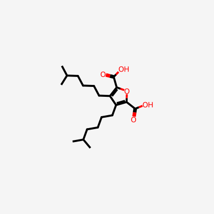 CC(C)CCCCc1c(C(=O)O)oc(C(=O)O)c1CCCCC(C)C